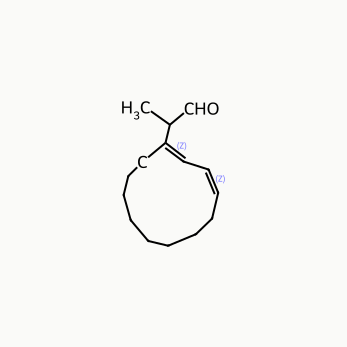 CC(C=O)/C1=C\C=C/CCCCCCCC1